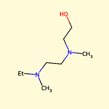 CCN(C)CCN(C)CCO